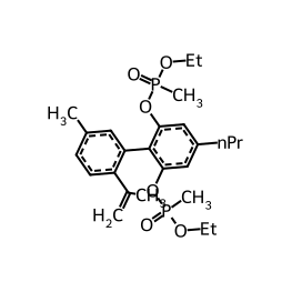 C=C(C)c1ccc(C)cc1-c1c(OP(C)(=O)OCC)cc(CCC)cc1OP(C)(=O)OCC